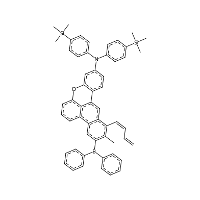 C=C/C=C\c1c(C)c(B(c2ccccc2)c2ccccc2)cc2c1cc1c3c(cccc32)Oc2cc(N(c3ccc([Si](C)(C)C)cc3)c3ccc([Si](C)(C)C)cc3)ccc2-1